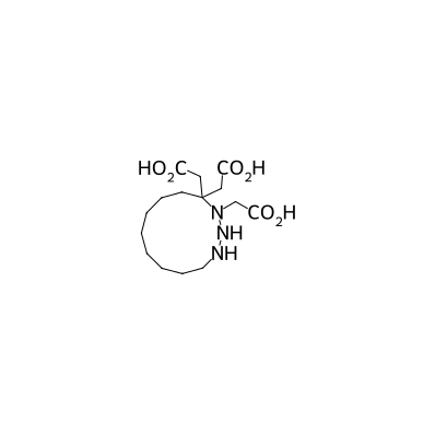 O=C(O)CN1NNCCCCCCCCC1(CC(=O)O)CC(=O)O